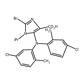 Cc1cc(Cl)ccc1N(c1cc(Cl)ccc1C)c1c(C(=O)O)nc(Br)n1C(C)C